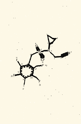 N#CCN(C1CC1)S(=O)(=O)Cc1c(F)c(F)c(F)c(F)c1F